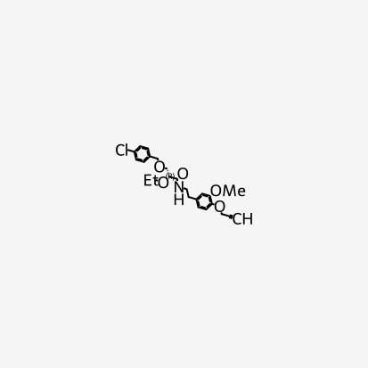 C#CCOc1ccc(CCNC(=O)[C@@H](COCc2ccc(Cl)cc2)OCC)cc1OC